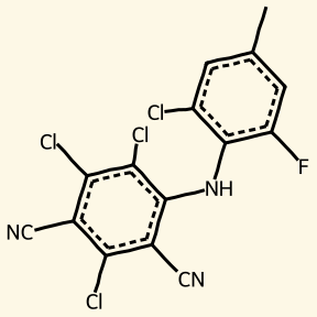 Cc1cc(F)c(Nc2c(Cl)c(Cl)c(C#N)c(Cl)c2C#N)c(Cl)c1